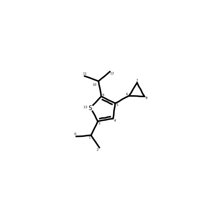 CC(C)c1cc(C2CC2)c(C(C)C)s1